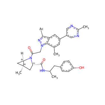 CC(=O)c1nn(CC(=O)N2[C@H](C(=O)NC(C)Cc3ccc(O)cc3)C[C@@]3(C)C[C@@H]23)c2c(C)cc(-c3cnc(C)nc3)cc12